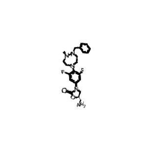 CN1CCN(c2c(F)cc(N3C[C@H](CN)OC3=O)cc2F)CCN1Cc1ccccc1